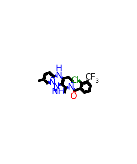 Cc1ccc(NC2=C(N=N)C(C)N(C(=O)c3cccc(C(F)(F)F)c3Cl)CC2)nc1